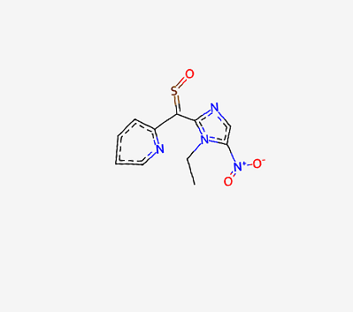 CCn1c([N+](=O)[O-])cnc1C(=S=O)c1ccccn1